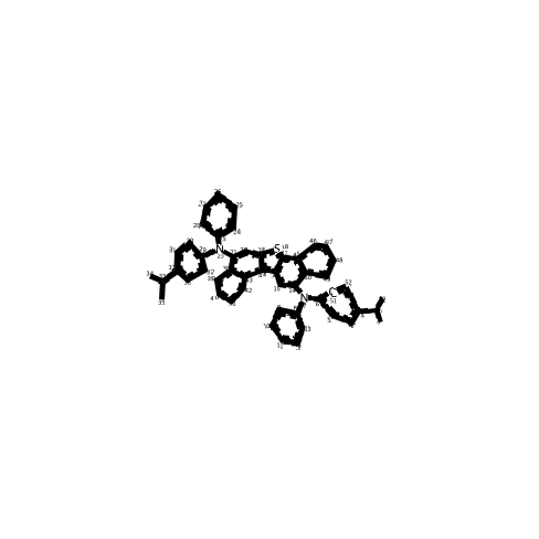 CC(C)c1ccc(N(c2ccccc2)c2cc3c(sc4cc(N(c5ccccc5)c5ccc(C(C)C)cc5)c5ccccc5c43)c3ccccc23)cc1